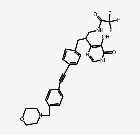 O=C(NCC(Cc1ccc(C#Cc2ccc(CN3CCOCC3)cc2)cc1)c1nc[nH]c(=O)c1O)C(F)(F)F